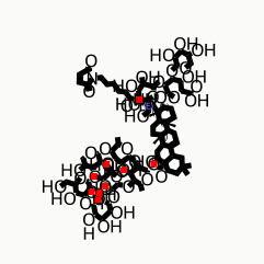 CC(=O)OC(C)C(C)OC(OC1C(C)OC(OC(=O)[C@]23CCC(C)(C)CC2C2=CCC4[C@@](C)(CCC5[C@]4(C)CC[C@H](OC4OC(C(=O)O)C(O)C(OC6OCC(O)C(O)C6O)C4OC4OC(CO)C(O)C(O)C4O)[C@@]5(C)/C=N/NC(=O)CCCCCN4C(=O)C=CC4=O)C2C[C@H]3O)C(OC2OC(C)C(OC3OCC(O)C(OC4OC(CO)C(O)C(O)C4O)C3O)C(O)C2O)C1O)C(O)OC1OCC(O)C(O)C1O